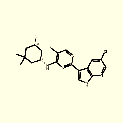 C[C@@H]1C[C@H](Nc2nc(-c3c[nH]c4ncc(Cl)cc34)ncc2F)CC(C)(C)C1